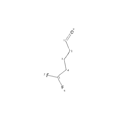 O=[C]CCCC(F)F